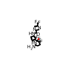 NC1=NC(c2cc(NC(=O)c3cnc(C(F)F)cn3)ccc2F)(C(F)F)C(F)(F)CC1